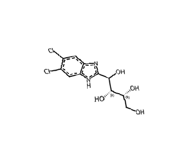 OC[C@@H](O)[C@H](O)C(O)c1nc2cc(Cl)c(Cl)cc2[nH]1